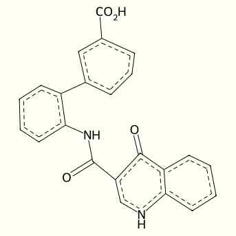 O=C(O)c1cccc(-c2ccccc2NC(=O)c2c[nH]c3ccccc3c2=O)c1